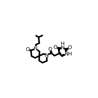 CC(C)CCN1CC2(CCCN(C(=O)Cc3c[nH]c(=O)[nH]c3=O)C2)CCC1=O